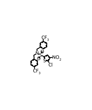 O=[N+]([O-])c1cc(S(=O)(=O)N(Cc2ccc(C(F)(F)F)cc2)Cc2cccc(C(F)(F)F)c2)sc1Cl